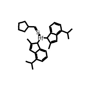 CC1=Cc2c(C(C)C)cccc2[CH]1[Hf](=[Si]=CC1CCCC1)[CH]1C(C)=Cc2c(C(C)C)cccc21